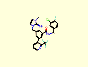 C[C@H](NC(=O)c1cc(Cn2ccn(C)c2=N)cc(-c2cccnc2C(F)(F)F)c1)c1ccc(F)c(Cl)c1